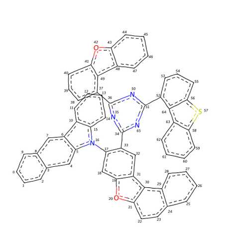 c1ccc2cc3c(cc2c1)c1ccccc1n3-c1cc2oc3ccc4ccccc4c3c2cc1-c1nc(-c2cccc3oc4ccccc4c23)nc(-c2cccc3sc4ccccc4c23)n1